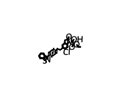 CCOC(=O)C(O)N1C(=O)Cc2cc(CCN3CCN(c4nsc5ccccc45)CC3)c(Cl)cc21